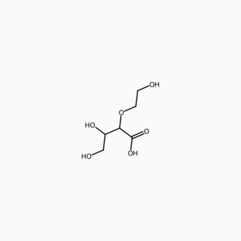 O=C(O)C(OCCO)C(O)CO